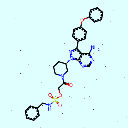 Nc1ncnc2c1c(-c1ccc(Oc3ccccc3)cc1)nn2[C@@H]1CCCN(C(=O)COS(=O)(=O)NCc2ccccc2)C1